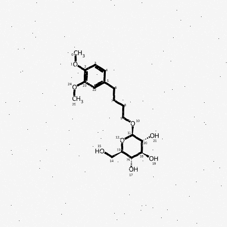 COc1ccc(CCCCO[C@@H]2O[C@H](CO)[C@@H](O)[C@H](O)[C@H]2O)cc1OC